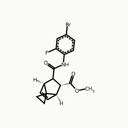 COC(=O)[C@H]1C(C(=O)Nc2ccc(Br)cc2F)[C@@H]2C=C[C@H]1C21CC1